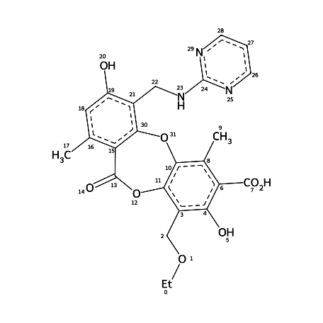 CCOCc1c(O)c(C(=O)O)c(C)c2c1OC(=O)c1c(C)cc(O)c(CNc3ncccn3)c1O2